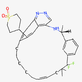 C[C@H]1Nc2cnnc3cc(c(C4CCS(=O)(=O)CC4)cc23)CCCCC/C=C\CC(C)(C)C(F)(F)c2cccc1c2